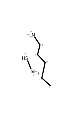 CCCCCN.[SiH3]S